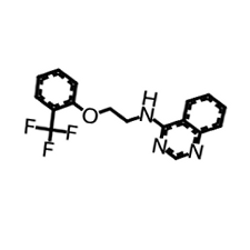 FC(F)(F)c1ccccc1OCCNc1ncnc2ccccc12